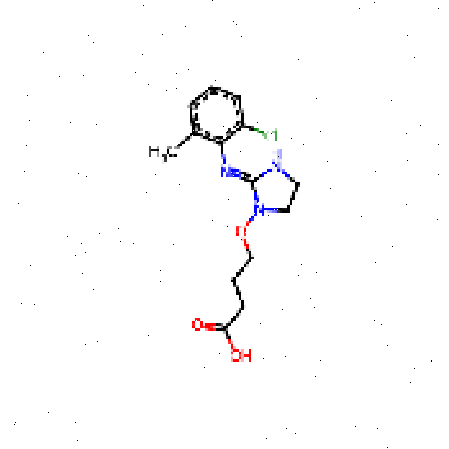 Cc1cccc(Cl)c1/N=C1\NCCN1OCCCC(=O)O